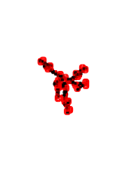 COC(=O)/C=C/c1ccc(OCCCCCCCCOc2cc(COc3cccc(C(=O)OCCCCCCO)c3OCc3cc(OCCCCCCCCOc4ccc(/C=C/C(=O)OC)cc4OC)cc(OCCCCCCCCOc4ccc(/C=C/C(=O)OC)cc4OC)c3)cc(OCCCCCCCCOc3ccc(/C=C/C(=O)OC)cc3OC)c2)c(OC)c1